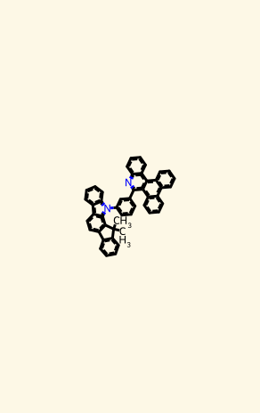 CC1(C)c2ccccc2-c2ccc3c4ccccc4n(-c4cccc(-c5nc6ccccc6c6c7ccccc7c7ccccc7c56)c4)c3c21